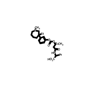 CCC1(c2cccc(OC(=O)O[C@H](C)CC(=O)NC(C(=O)O)C(C)C)c2)CCCCN(C)C1